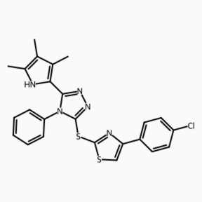 Cc1[nH]c(-c2nnc(Sc3nc(-c4ccc(Cl)cc4)cs3)n2-c2ccccc2)c(C)c1C